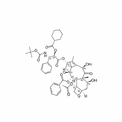 CC(=O)O[C@@]12CO[C@@H]1C[C@H](O)[C@@]1(C)C(=O)[C@H](O)C3=C(C)[C@@H](OC(=O)[C@H](OC(=O)C4CCCCC4)[C@@H](NC(=O)OC(C)(C)C)c4ccccc4)C[C@@](O)([C@@H](OC(=O)c4ccccc4)[C@H]21)C3(C)C